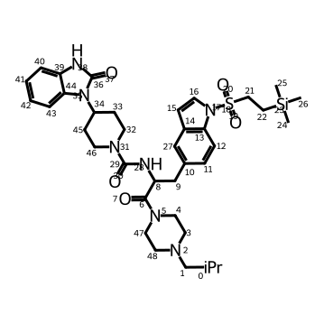 CC(C)CN1CCN(C(=O)C(Cc2ccc3c(ccn3S(=O)(=O)CC[Si](C)(C)C)c2)NC(=O)N2CCC(n3c(=O)[nH]c4ccccc43)CC2)CC1